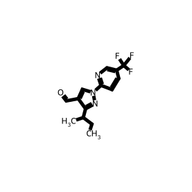 CCC(C)c1nn(-c2ccc(C(F)(F)F)cn2)cc1C=O